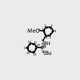 COc1ccccc1CB[P@](c1ccccc1)C(C)(C)C